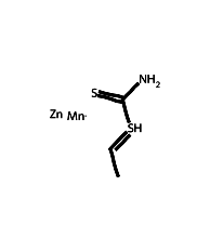 CC=[SH]C(N)=S.[Mn].[Zn]